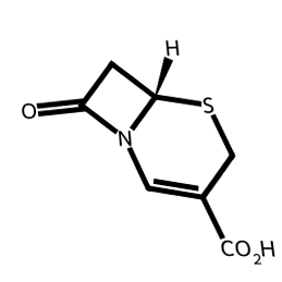 O=C(O)C1=CN2C(=O)C[C@@H]2SC1